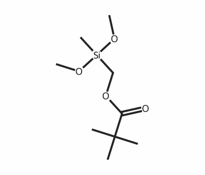 CO[Si](C)(COC(=O)C(C)(C)C)OC